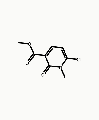 COC(=O)c1ccc(Cl)n(C)c1=O